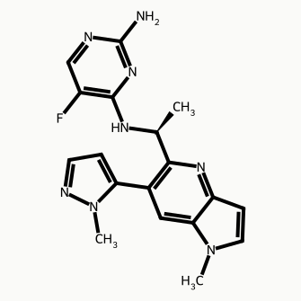 C[C@H](Nc1nc(N)ncc1F)c1nc2ccn(C)c2cc1-c1ccnn1C